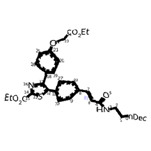 CCCCCCCCCCCCNC(=O)/C=C/c1ccc(-c2sc(C(=O)OCC)nc2-c2ccc(OCC(=O)OCC)cc2)cc1